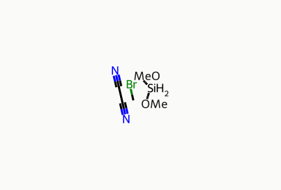 CBr.CO[SiH2]OC.N#CC#N